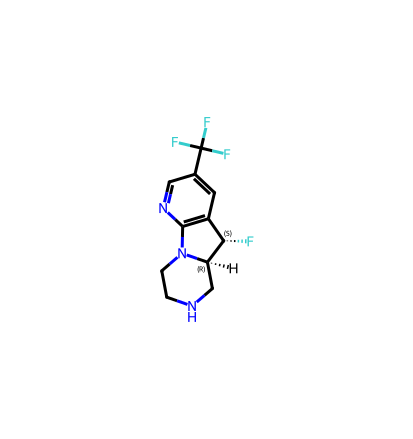 F[C@H]1c2cc(C(F)(F)F)cnc2N2CCNC[C@H]12